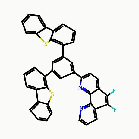 Fc1c(F)c2ccc(-c3cc(-c4cccc5c4sc4ccccc45)cc(-c4cccc5c4sc4ccccc45)c3)nc2c2ncccc12